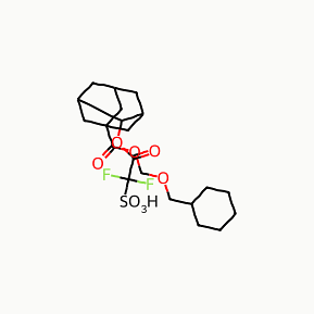 O=C(OCOCC1CCCCC1)C12CC3CC(C1)C(OC(=O)C(F)(F)S(=O)(=O)O)C(C3)C2